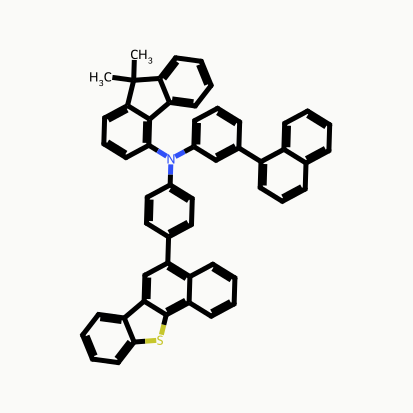 CC1(C)c2ccccc2-c2c(N(c3ccc(-c4cc5c6ccccc6sc5c5ccccc45)cc3)c3cccc(-c4cccc5ccccc45)c3)cccc21